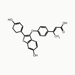 C/C(=C\C(=O)O)c1ccc(Oc2c(C3=CC=C(O)CC3)sc3cc(O)ccc23)cc1